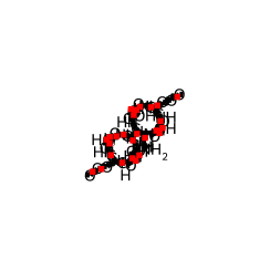 COCCOCCOCCN1CCNC(=O)C2CCC=C(C(=O)NCCN(CCN3CCNC(=O)C4=CCC[C@@H](C(=O)NCCN(CCOCCOCCOC)CCNC(=O)C5C=CC=C(C(=O)NC(CCCCN)C3)[C@@H]5O)C4O)CCNC(=O)C3=CCCC(C(=O)NCC1)[C@@H]3O)[C@H]2O